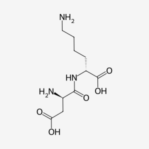 NCCCC[C@@H](NC(=O)[C@H](N)CC(=O)O)C(=O)O